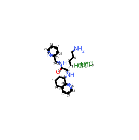 Cl.Cl.Cl.Cl.NCCCC[C@H](NC1CCCc2cccnc21)C(=O)NCc1ccccn1